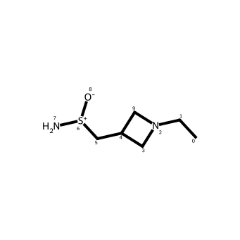 CCN1CC(C[S+](N)[O-])C1